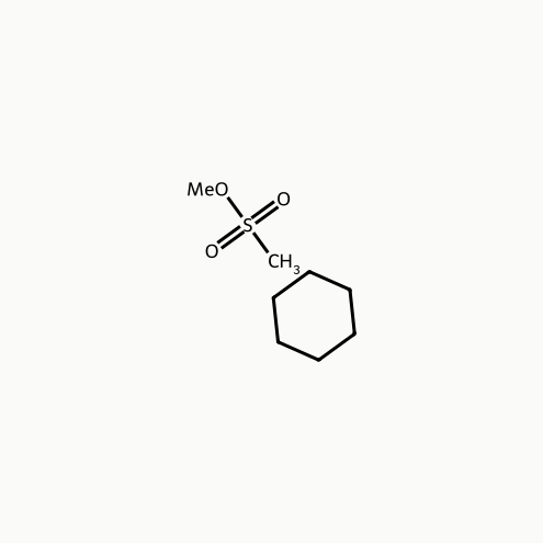 C1CCCCC1.COS(C)(=O)=O